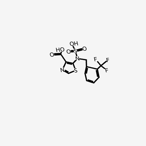 O=C(O)c1ncsc1N(Cc1ccccc1C(F)(F)F)S(=O)(=O)O